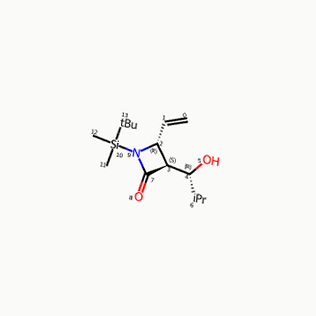 C=C[C@@H]1[C@@H]([C@H](O)C(C)C)C(=O)N1[Si](C)(C)C(C)(C)C